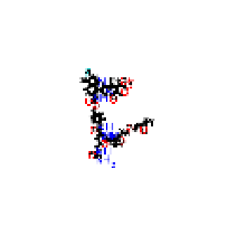 CC[C@@]1(O)C(=O)OCc2c1cc1n(c2=O)Cc2c-1nc1cc(F)c(C)c3c1c2[C@@H](NC(=O)OCc1ccc(NC(=O)[C@H](CCCNC(N)=O)NC(=O)[C@@H](NC(=O)CCOCCC(=O)C(C)C)C(C)C)cc1)CC3